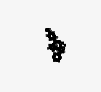 Cc1onc(-c2ccccc2)c1-c1ccnn1C(=O)c1ccc(Cl)cc1